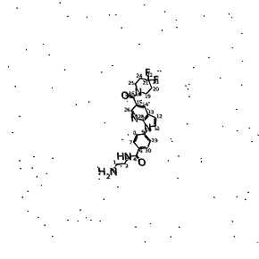 NCCNC(=O)c1ccc(-n2ccc3cc(C(=O)N4CCC(F)(F)CC4)cnc32)cc1